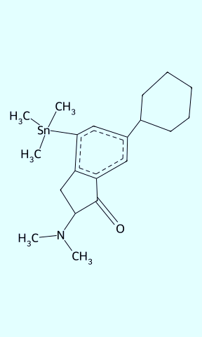 CN(C)C1Cc2c(cc(C3CCCCC3)c[c]2[Sn]([CH3])([CH3])[CH3])C1=O